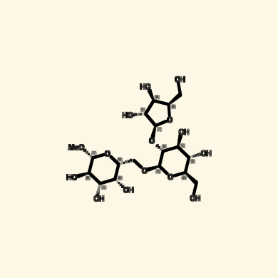 CO[C@@H]1O[C@H](CO[C@@H]2O[C@H](CO)[C@@H](O)[C@H](O)[C@H]2O[C@@H]2O[C@H](CO)[C@H](O)[C@H]2O)[C@H](O)[C@H](O)[C@H]1O